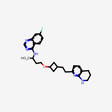 O=C(O)C(CCOC1CC(CCc2ccc3c(n2)NCCC3)C1)Nc1ncnc2cc(F)ccc12